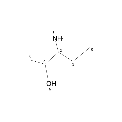 CCC([NH])C(C)O